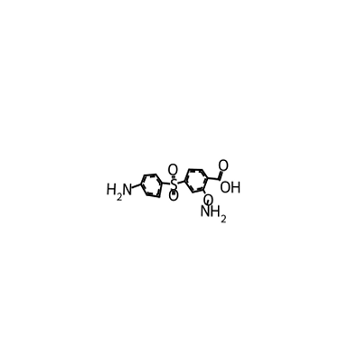 NOc1cc(S(=O)(=O)c2ccc(N)cc2)ccc1C(=O)O